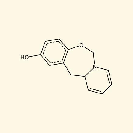 Oc1ccc2c(c1)CC1C=CC=CN1CO2